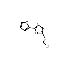 ClCSc1nnc(-c2ccco2)o1